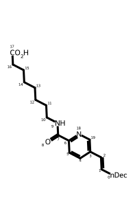 CCCCCCCCCC/C=C/c1ccc(C(=O)NCCCCCCCC(=O)O)nc1